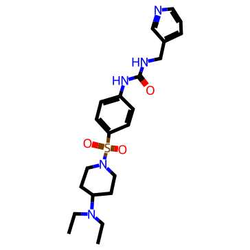 CCN(CC)C1CCN(S(=O)(=O)c2ccc(NC(=O)NCc3cccnc3)cc2)CC1